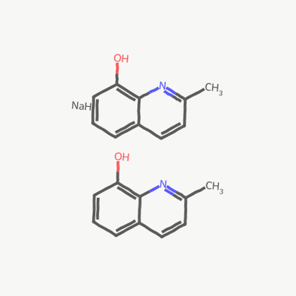 Cc1ccc2cccc(O)c2n1.Cc1ccc2cccc(O)c2n1.[NaH]